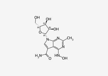 Cc1nc(NO)c2c(C(N)=O)cn([C@@H]3O[C@H](CO)[C@@H](O)[C@H]3O)c2n1